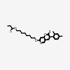 CCC(=S)OCCCCCCCCOc1cc2oc(=S)c(-c3ccc(C)cc3C)cc2cn1